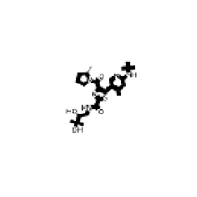 Cc1cc(NC(C)(C)C)ncc1-c1sc(C(=O)NC[C@H](O)C(C)(C)O)nc1C(=O)N1CCC[C@@H]1C